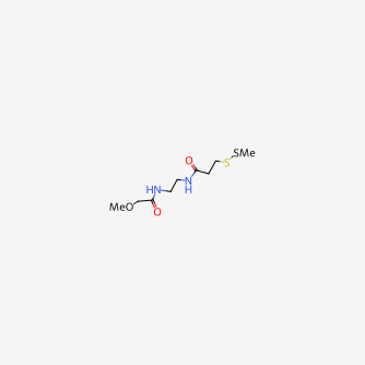 COCC(=O)NCCNC(=O)CCSSC